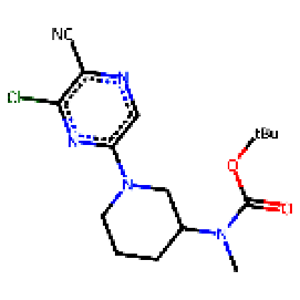 CN(C(=O)OC(C)(C)C)C1CCCN(c2cnc(C#N)c(Cl)n2)C1